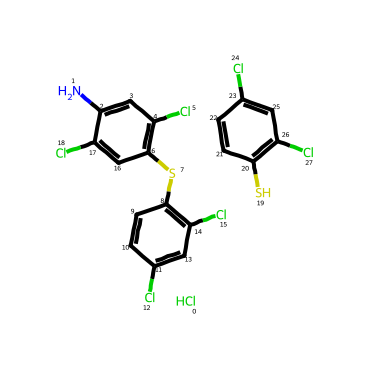 Cl.Nc1cc(Cl)c(Sc2ccc(Cl)cc2Cl)cc1Cl.Sc1ccc(Cl)cc1Cl